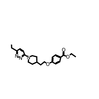 CCOC(=O)c1ccc(OCCC2CCN(c3ccc(CC)nn3)CC2)cc1